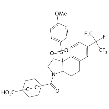 COc1ccc(S(=O)(=O)C23CCN(C(=O)C45CCC(C(=O)O)(CC4)CC5)C2CCc2cc(C(F)(C(F)(F)F)C(F)(F)F)ccc23)cc1